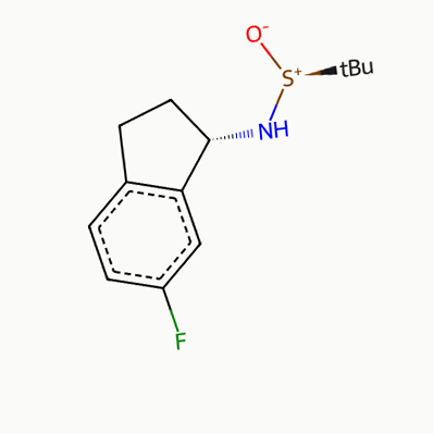 CC(C)(C)[S@+]([O-])N[C@H]1CCc2ccc(F)cc21